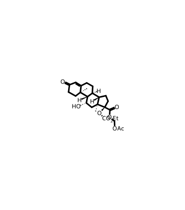 CCOC(=O)O[C@]1(C(=O)OCOC(C)=O)CC[C@H]2[C@@H]3CCC4=CC(=O)CC[C@]4(C)[C@H]3[C@@H](O)C[C@@]21C